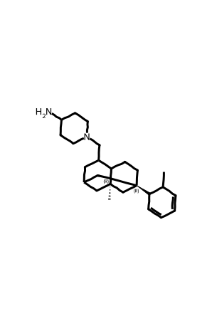 CC1C=CC=CC1[C@@]12CCC3C(CN4CCC(N)CC4)CC(C[C@]3(C)C1)C2